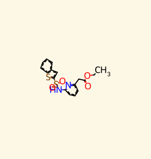 CCOC(=O)Cc1cccc(NS(=O)(=O)c2cc3ccccc3s2)n1